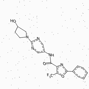 O=C(Nc1cnc(N2CCC(O)C2)nc1)c1nc(-c2ccccc2)oc1C(F)(F)F